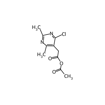 CC(=O)OC(=O)Cc1c(C)nc(C)nc1Cl